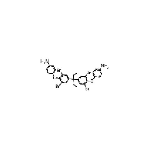 CCC(CC)(c1cc(Br)c(Oc2ccc(N)cc2)c(Br)c1)c1cc(Br)c(Oc2ccc(N)cc2)c(Br)c1